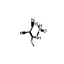 CSC(N[PH](=O)S)=C(C#N)C#N